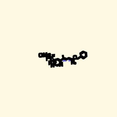 C=N/C(=C\C=C(/C)c1cn2c(C(F)(F)OC)nnc2cn1)OCc1ccccc1